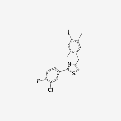 Cc1cc(Cc2csc(-c3ccc(F)c(Cl)c3)n2)c(C)cc1I